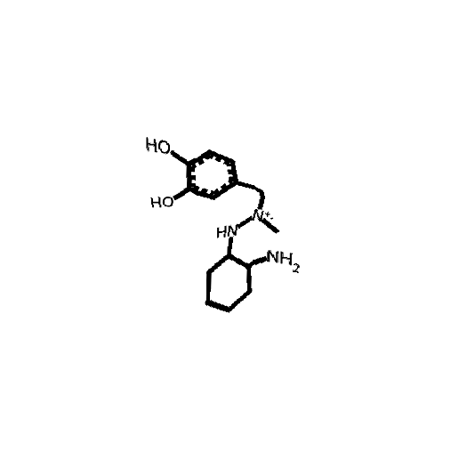 C[N+](Cc1ccc(O)c(O)c1)NC1CCCCC1N